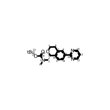 CN(C[C@@H]1OCCc2cc(-c3ncccn3)ccc21)C(=O)OC(C)(C)C